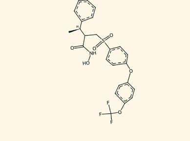 C[C@@H](c1ccccc1)C(CS(=O)(=O)c1ccc(Oc2ccc(OC(F)(F)F)cc2)cc1)C(=O)NO